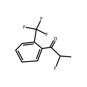 CC(F)C(=O)c1ccccc1C(F)(F)F